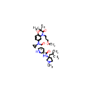 COCCCN1C(=O)C(C)(C)Oc2ccc(N(C(=O)[C@H]3CNC[C@@H](C(=O)NC4(CC(C)C)CCN(C)C4)C3)C3CC3)cc21